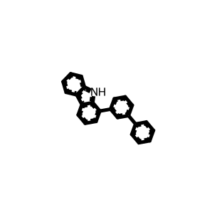 c1ccc(-c2cccc(-c3cccc4c3[nH]c3ccccc34)c2)cc1